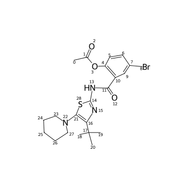 CC(=O)Oc1ccc(Br)cc1C(=O)Nc1nc(C(C)(C)C)c(N2CCCCC2)s1